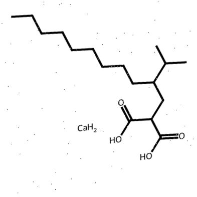 CCCCCCCCCC(CC(C(=O)O)C(=O)O)C(C)C.[CaH2]